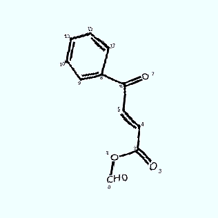 O=COC(=O)C=CC(=O)c1ccccc1